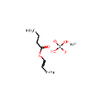 CCCCCCC=COC(=O)CCC(=O)O.[Ba+2].[O-][Si]([O-])(O)O